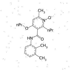 CCCOc1cc(C)[n+]([O-])c(CCC)c1C(=O)Nc1cccc(C)c1C